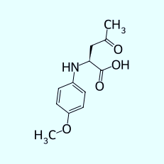 COc1ccc(N[C@@H](CC(C)=O)C(=O)O)cc1